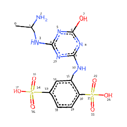 CC(N)Nc1nc(O)nc(Nc2cc(S(=O)(=O)O)ccc2S(=O)(=O)O)n1